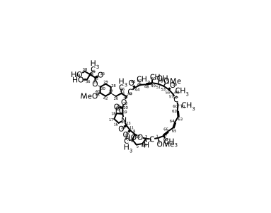 CO[C@H]1C[C@@H]2CC[C@@H](C)[C@@](O)(O2)C(=O)C(=O)N2CCC[C@H]2C(=O)O[C@H]([C@H](C)C[C@@H]2CC[C@@H](OC(=O)C(C)(CO)CO)[C@H](OC)C2)CC(=O)[C@H](C)/C=C(\C)[C@@H](O)[C@@H](OC)C(=O)[C@H](C)C[C@H](C)/C=C/C=C/C=C/1C